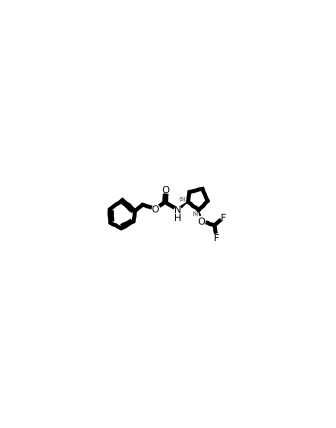 O=C(N[C@H]1CCC[C@@H]1OC(F)F)OCc1ccccc1